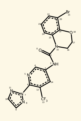 O=C(Nc1cnc(-n2nccn2)c(C(F)(F)F)c1)N1CCOc2c(Br)cccc21